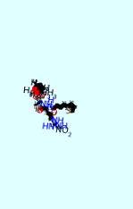 CC(C)C[C@H](NC(=O)[C@H](CCCNC(=N)N[N+](=O)[O-])NC(=O)CCCc1cccs1)B1O[C@@H]2C[C@@H]3C[C@@H](C3(C)C)[C@]2(C)O1